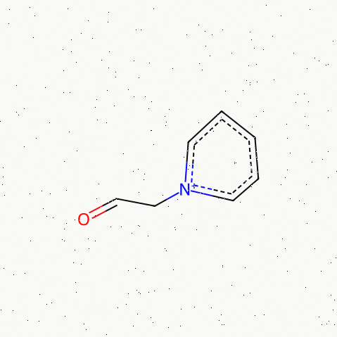 O=CC[n+]1ccccc1